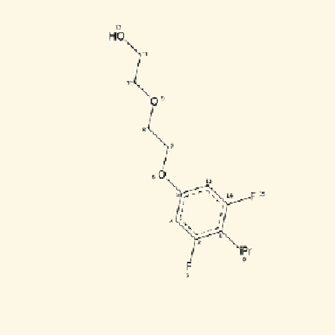 CC(C)c1c(F)cc(OCCOCCO)cc1F